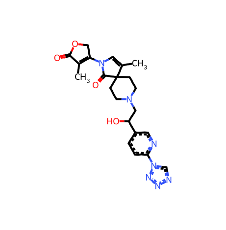 CC1=CN(C2=C(C)C(=O)OC2)C(=O)C12CCN(CC(O)c1ccc(-n3cnnn3)nc1)CC2